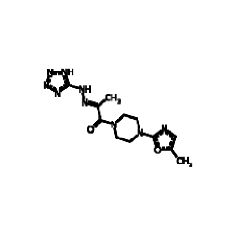 C/C(=N\Nc1nnn[nH]1)C(=O)N1CCN(c2ncc(C)o2)CC1